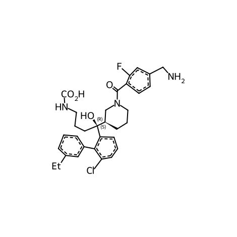 CCc1cccc(-c2c(Cl)cccc2[C@](O)(CCCNC(=O)O)[C@@H]2CCCN(C(=O)c3ccc(CN)cc3F)C2)c1